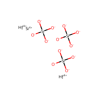 [Hf+4].[Hf+4].[O-][Si]([O-])([O-])[O-].[O-][Si]([O-])([O-])[O-].[O-][Si]([O-])([O-])[O-].[Si+4]